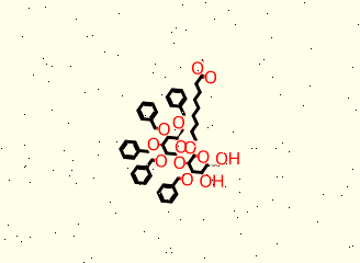 COC(=O)CCCCCCCCO[C@H]1O[C@H](CO)[C@@H](O)[C@H](OCc2ccccc2)[C@H]1O[C@H]1O[C@H](COCc2ccccc2)[C@@H](OCc2ccccc2)[C@H](OCc2ccccc2)[C@H]1OCc1ccccc1